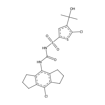 CC(C)(O)c1cc(S(=O)(=O)NC(=O)Nc2c3c(c(Cl)c4c2CCC4)CCC3)sc1Cl